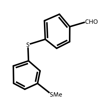 CSc1cccc(Sc2ccc(C=O)cc2)c1